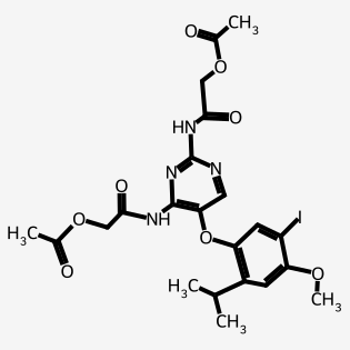 COc1cc(C(C)C)c(Oc2cnc(NC(=O)COC(C)=O)nc2NC(=O)COC(C)=O)cc1I